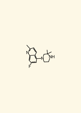 Cc1ccc2c(N3CCNC(C)(C)C3)cc(F)cc2n1